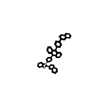 c1ccc2cc(-c3ccc(-c4c5ccccc5c(-c5ccc(-n6c(-c7ccc8ccccc8c7)nc7ccccc76)cc5)c5ccccc45)cc3)ccc2c1